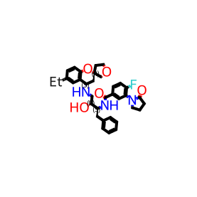 CCc1ccc2c(c1)[C@@H](NC[C@@H](O)[C@H](Cc1ccccc1)NC(=O)c1ccc(F)c(N3CCCC3=O)c1)C[C@]1(CCOC1)O2